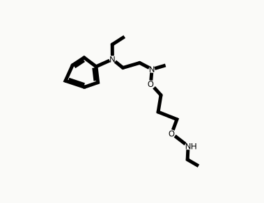 CCNOCCCON(C)CCN(CC)c1ccccc1